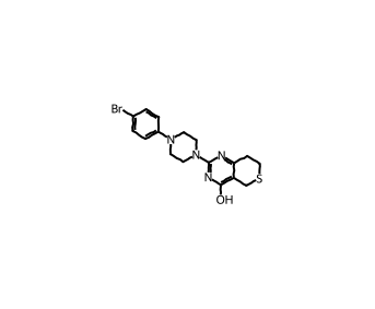 Oc1nc(N2CCN(c3ccc(Br)cc3)CC2)nc2c1CSCC2